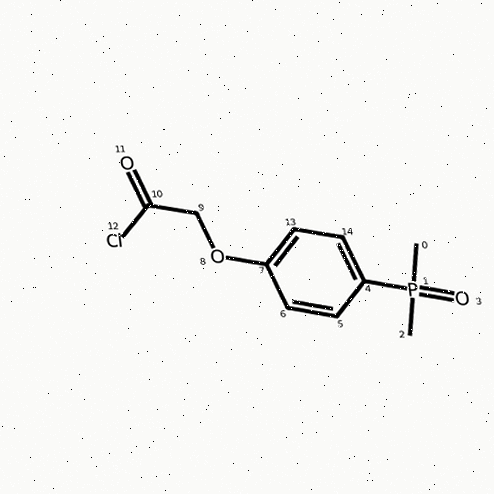 CP(C)(=O)c1ccc(OCC(=O)Cl)cc1